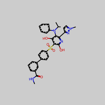 CNC(=O)c1cccc(-c2ccc(S(=O)(=O)c3c(O)nc(-c4ccn(C)n4)c(N(c4ccccc4)C(C)C)c3O)cc2)c1